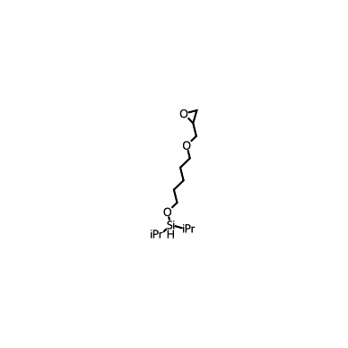 CC(C)[SiH](OCCCCCOCC1CO1)C(C)C